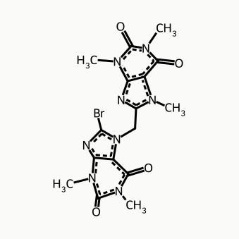 Cn1c(=O)c2c(nc(Cn3c(Br)nc4c3c(=O)n(C)c(=O)n4C)n2C)n(C)c1=O